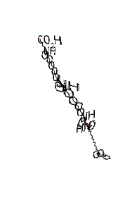 O=C(O)CCCCCNC(=O)CCOCCOCCOCCOCCNC(=O)CCOCCOCCOCCOCCNC(=O)CCCNC(=O)CCCCCCCCCCCCC(=O)OCc1ccccc1